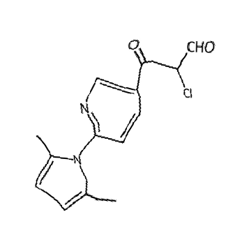 Cc1ccc(C)n1-c1ccc(C(=O)C(Cl)C=O)cn1